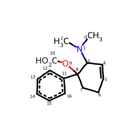 CN(C)C1C=CCCC1(OC(=O)O)c1ccccc1